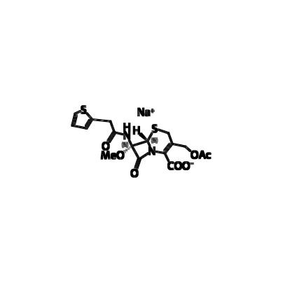 CO[C@@]1(NC(=O)Cc2cccs2)C(=O)N2C(C(=O)[O-])=C(COC(C)=O)CS[C@H]21.[Na+]